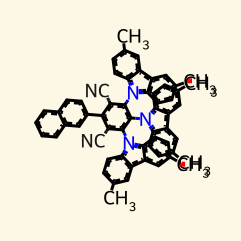 Cc1ccc2c(c1)c1cc(C)ccc1n2-c1c(C#N)c(-c2ccc3ccccc3c2)c(C#N)c(-n2c3ccc(C)cc3c3cc(C)ccc32)c1-n1c2ccc(C)cc2c2cc(C)ccc21